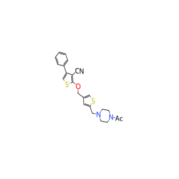 CC(=O)N1CCN(Cc2cc(COc3scc(-c4ccccc4)c3C#N)cs2)CC1